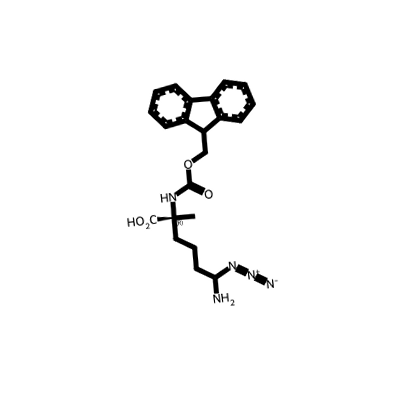 C[C@](CCCC(N)N=[N+]=[N-])(NC(=O)OCC1c2ccccc2-c2ccccc21)C(=O)O